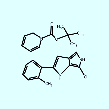 CC(C)(C)OC(=O)N1C=CC=CC1.Cc1ccccc1-c1cc2c[nH]c(Cl)c2[nH]1